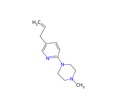 C=CCc1ccc(N2CCN(C)CC2)nc1